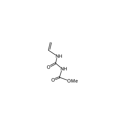 C=CNC(=O)NC(=O)OC